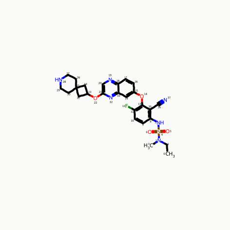 CCN(C)S(=O)(=O)Nc1ccc(F)c(Oc2ccc3ncc(OC4CC5(CCNCC5)C4)nc3c2)c1C#N